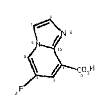 O=C(O)c1cc(F)cn2ccnc12